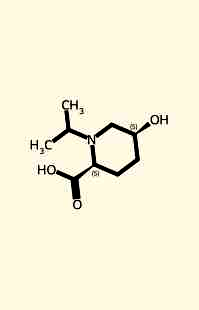 CC(C)N1C[C@@H](O)CC[C@H]1C(=O)O